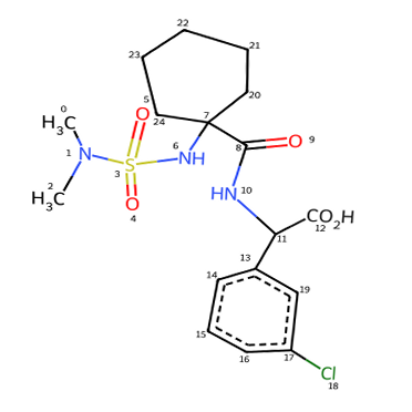 CN(C)S(=O)(=O)NC1(C(=O)NC(C(=O)O)c2cccc(Cl)c2)CCCCC1